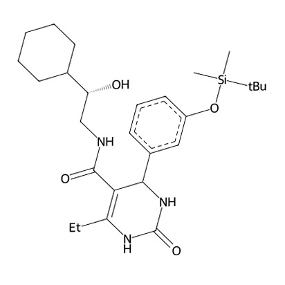 CCC1=C(C(=O)NC[C@@H](O)C2CCCCC2)C(c2cccc(O[Si](C)(C)C(C)(C)C)c2)NC(=O)N1